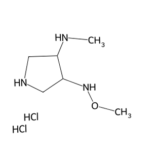 CNC1CNCC1NOC.Cl.Cl